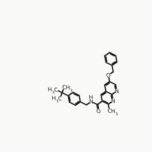 Cc1nc2ncc(OCc3ccccc3)cc2cc1C(=O)NCc1ccc(C(C)(C)C)cc1